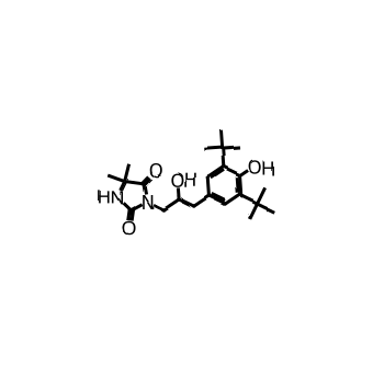 CC1(C)NC(=O)N(CC(O)Cc2cc(C(C)(C)C)c(O)c(C(C)(C)C)c2)C1=O